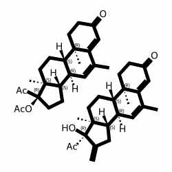 C=C1C[C@H]2[C@@H]3C=C(C)C4=CC(=O)CC[C@]4(C)[C@H]3CC[C@]2(C)[C@@]1(O)C(C)=O.CC(=O)O[C@]1(C(C)=O)CC[C@H]2[C@@H]3C=C(C)C4=CC(=O)CC[C@]4(C)[C@H]3CC[C@@]21C